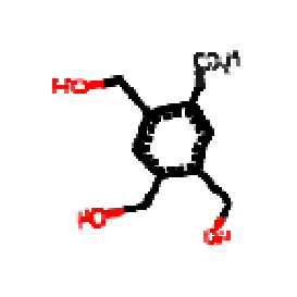 O=C(O)c1cc(CO)c(CO)cc1CO